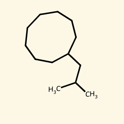 CC(C)CC1CCCCCCCC1